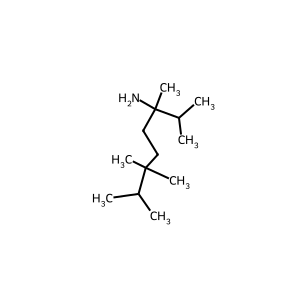 CC(C)C(C)(C)CCC(C)(N)C(C)C